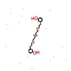 Oc1cccc(CCCSCCSSCCSCCCc2cccc(O)c2)c1